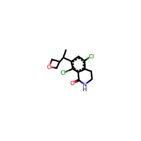 CC(c1cc(Cl)c2c(c1Cl)C(=O)NCC2)C1COC1